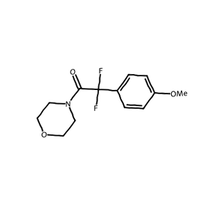 COc1ccc(C(F)(F)C(=O)N2CCOCC2)cc1